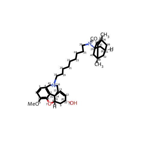 COc1ccc2c3c1O[C@H]1C[C@@H](O)C=C[C@@]31CCN(CCCCCCCCCN(C(=O)O)[C@]13C[C@@H]4C[C@@](C)(C[C@@](C)(C4)C1)C3)C2